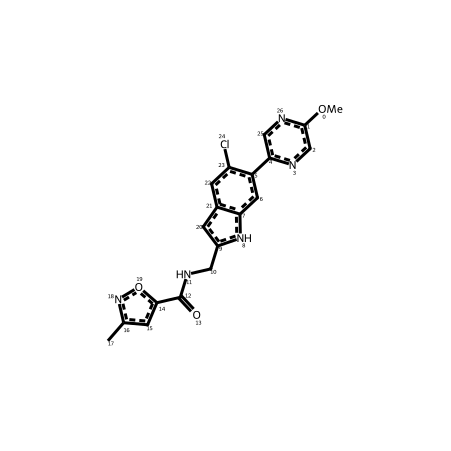 COc1cnc(-c2cc3[nH]c(CNC(=O)c4cc(C)no4)cc3cc2Cl)cn1